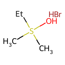 Br.CCS(C)(C)O